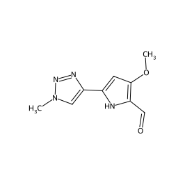 COc1cc(-c2cn(C)nn2)[nH]c1C=O